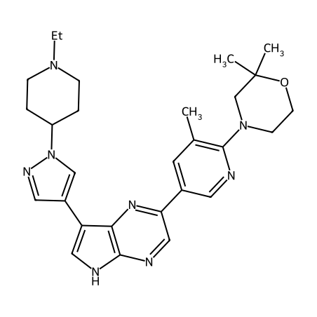 CCN1CCC(n2cc(-c3c[nH]c4ncc(-c5cnc(N6CCOC(C)(C)C6)c(C)c5)nc34)cn2)CC1